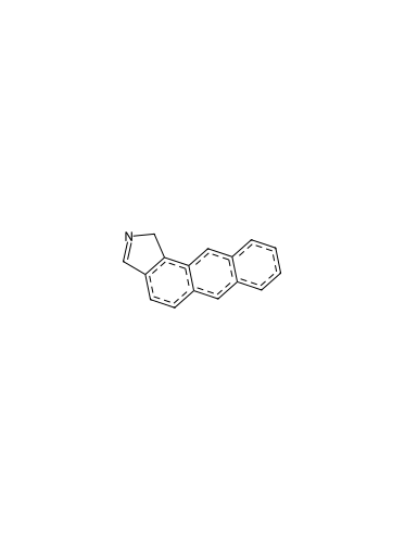 C1=NCc2c1ccc1cc3ccccc3cc21